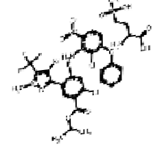 CC(C)OC(=O)c1cc(-c2nn(C)c(C(F)(F)F)c2Br)c(F)cc1Cl.CP(=O)(O)CCC(N)C(=O)O.Nc1c([N+](=O)[O-])ccc(Oc2ccccc2)c1Cl